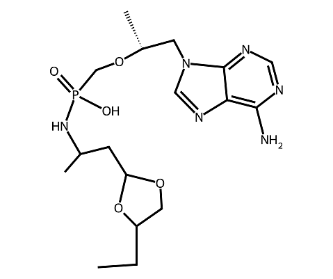 CCC1COC(CC(C)NP(=O)(O)CO[C@H](C)Cn2cnc3c(N)ncnc32)O1